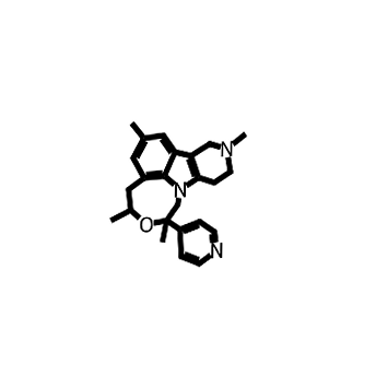 Cc1cc2c3c(c1)c1c(n3CC(C)(c3ccncc3)OC(C)C2)CCN(C)C1